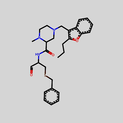 CCCc1oc2ccccc2c1CN1CCN(C)C(C(=O)NC(C=O)CSCc2ccccc2)C1